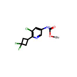 CC(C)(C)OC(=O)Nc1cnc(C2CC(F)(F)C2)c(Cl)c1